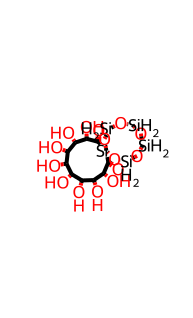 O=C1C(O)C(O)C(O)C(O)C(O)C(O)C(O)C(O)C(=O)[Si]12O[SiH2]O[SiH2]O[SiH2]O[SiH2]O2